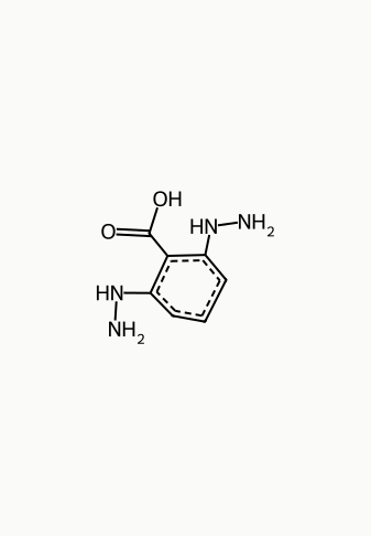 NNc1cccc(NN)c1C(=O)O